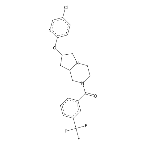 O=C(c1cccc(C(F)(F)F)c1)N1CCN2CC(Oc3ccc(Cl)cn3)CC2C1